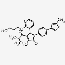 Cc1cc(-c2ccc(N3C(=O)C(O)=C(C(=O)C(C)C)C3c3cccnc3OCCCO)cc2)cs1